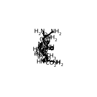 CC(C)C[C@H](NC(=O)[C@H](Cc1c[nH]cn1)NC(=O)[C@H](Cc1ccccc1)NC(=O)[C@@H]1CCCN1C(=O)[C@H](Cc1c[nH]cn1)NC(=O)[C@H](CCCCN)NC(=O)[C@@H](N)CCCCN)C(=O)N[C@H](C(=O)N(C)[C@@H](Cc1c[nH]cn1)C(=O)N[C@@H](CCCCN)C(=O)O)C(C)C